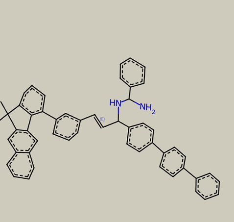 CC1(C)c2cc3ccccc3cc2-c2c(-c3cccc(/C=C/C(NC(N)c4ccccc4)c4ccc(-c5ccc(-c6ccccc6)cc5)cc4)c3)cccc21